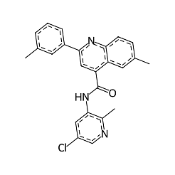 Cc1cccc(-c2cc(C(=O)Nc3cc(Cl)cnc3C)c3cc(C)ccc3n2)c1